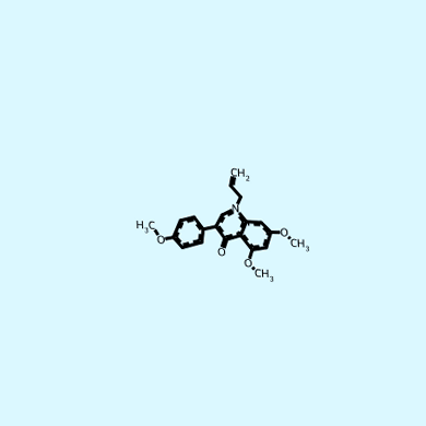 C=CCn1cc(-c2ccc(OC)cc2)c(=O)c2c(OC)cc(OC)cc21